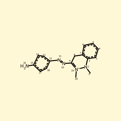 CN1c2ccccc2CC(N=Nc2ccc(N)cc2)=[N+]1C